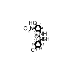 O=C(Nc1ccc(O)c([N+](=O)[O-])c1)N(S)c1ccc(Cl)cc1